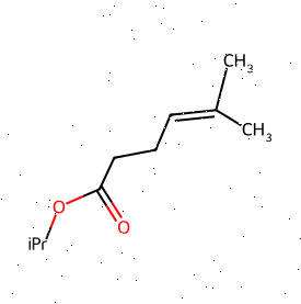 CC(C)=CCCC(=O)OC(C)C